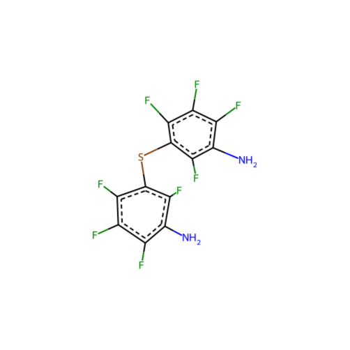 Nc1c(F)c(F)c(F)c(Sc2c(F)c(N)c(F)c(F)c2F)c1F